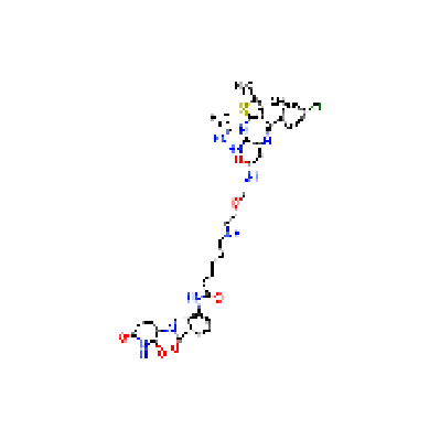 CC(=N)N1C(=N)[C@H](CC(=O)NCCOCCNCCCCCC(=O)Nc2cccc3c2CN(C2CCC(=O)NC2=O)C3=O)N=C(c2ccc(Cl)cc2)c2c1sc(C)c2C